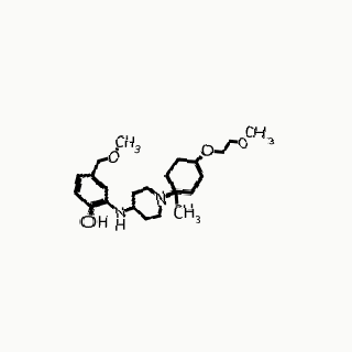 COCCOC1CCC(C)(N2CCC(Nc3cc(COC)ccc3O)CC2)CC1